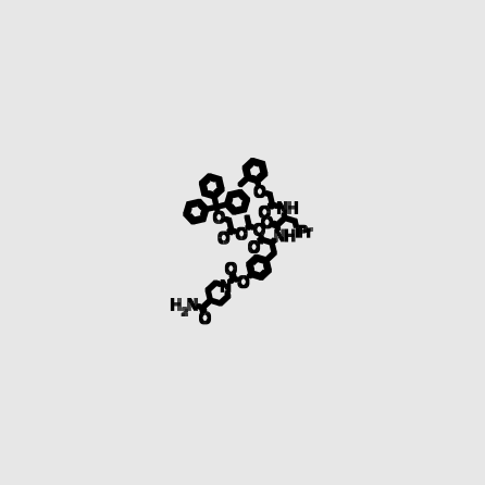 Cc1ccccc1OCC(=O)NC(CC(C)C)C(=O)NC(Cc1ccc(OC(=O)N2CCC(C(N)=O)CC2)cc1)C(=O)OC(C)OC(=O)COC(c1ccccc1)(c1ccccc1)c1ccccc1